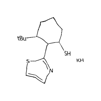 CC(C)(C)C1CCCC(S)C1c1nccs1.[KH]